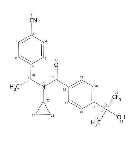 C[C@H](c1ccc(C#N)cc1)N(C(=O)c1ccc([C@](C)(O)C(F)(F)F)cc1)C1CC1